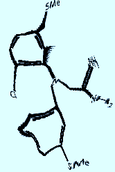 CSc1cccc(N(C(=N)N)c2cc(SC)ccc2Cl)c1